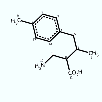 Cc1ccc(CC(C)C(CN)C(=O)O)cc1